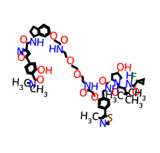 Cc1ncsc1-c1ccc(CNC(=O)[C@@H]2C[C@@H](O)CN2C(=O)C(NC(=O)C2(F)CC2)C(C)(C)C)c(OCC(=O)NCCOCCOCCNC(=O)COc2ccc3c(c2)[C@H](NC(=O)c2cc(-c4ccc(C(=O)N(C)C)c(O)c4)on2)CC3)c1